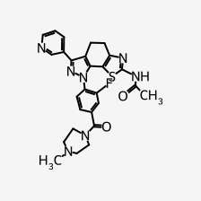 CC(=O)Nc1nc2c(s1)-c1c(c(-c3cccnc3)nn1-c1ccc(C(=O)N3CCN(C)CC3)cc1F)CC2